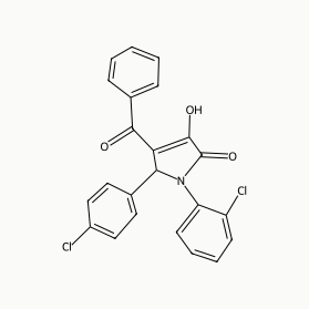 O=C(C1=C(O)C(=O)N(c2ccccc2Cl)C1c1ccc(Cl)cc1)c1ccccc1